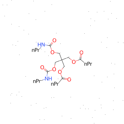 CCCNC(=O)OCC(COC(=O)CCC)(COC(=O)CCC)COC(=O)NCCC